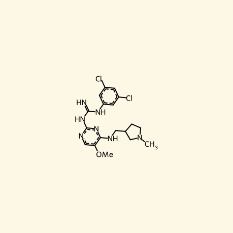 COc1cnc(NC(=N)Nc2cc(Cl)cc(Cl)c2)nc1NCC1CCN(C)C1